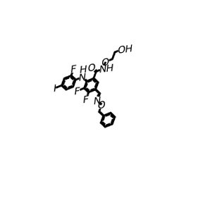 O=C(NOCCO)c1cc(C=NOCc2ccccc2)c(F)c(F)c1Nc1ccc(I)cc1F